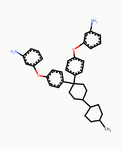 CC1CCC(C2CCC(c3ccc(Oc4cccc(N)c4)cc3)(c3ccc(Oc4cccc(N)c4)cc3)CC2)CC1